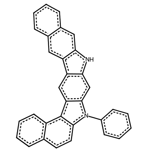 c1ccc(-n2c3cc4[nH]c5cc6ccccc6cc5c4cc3c3c4ccccc4ccc32)cc1